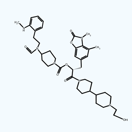 CNc1ccccc1CCN(C=O)C1CCN(C(=O)O[C@H](Cc2cc(C)c3c(c2)oc(=O)n3C)C(=O)N2CCC(C3CCN(CCO)CC3)CC2)CC1